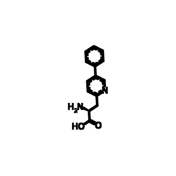 N[C@@H](Cc1ccc(-c2ccccc2)cn1)C(=O)O